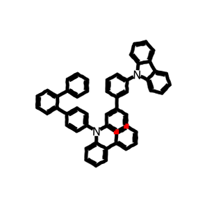 c1ccc(-c2ccccc2-c2ccc(N(c3cccc(-c4cccc(-n5c6ccccc6c6ccccc65)c4)c3)c3ccccc3-c3ccccc3)cc2)cc1